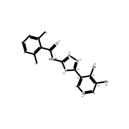 Cc1cccc(C)c1C(=O)Nc1nnc(-c2cncc(Br)c2Br)s1